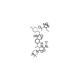 CCc1nonc1C(=O)C[C@H](C(=O)Nc1ccc([C@H](C)[C@@H](NC(=O)N(C)C2CC2)C(=O)N2CCN(C)C(C)(C)C2)cc1F)[C@H]1CC[C@H](C)CC1